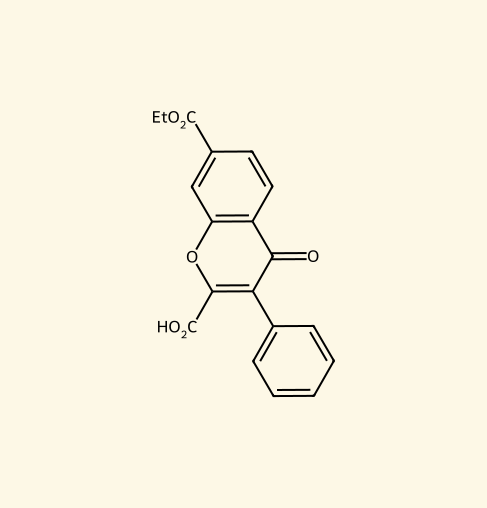 CCOC(=O)c1ccc2c(=O)c(-c3ccccc3)c(C(=O)O)oc2c1